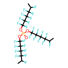 CC(F)C(F)(F)C(F)(F)C(F)(F)C(F)(F)OP(=O)(OC(F)(F)C(F)(F)C(F)(F)C(F)(F)C(C)F)OC(F)(F)C(F)(F)C(F)(F)C(F)(F)C(C)F